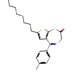 CCCCCCCCc1cc2c(s1)NC(=O)CN=C2c1ccc(C)cc1